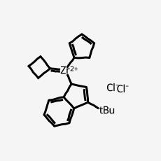 CC(C)(C)C1=C[CH]([Zr+2]([C]2=CC=CC2)=[C]2CCC2)c2ccccc21.[Cl-].[Cl-]